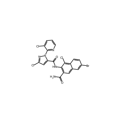 NC(=O)c1cc2cc(Br)ccc2c(Cl)c1NC(=O)c1cc(Cl)nn1-c1ncccc1Cl